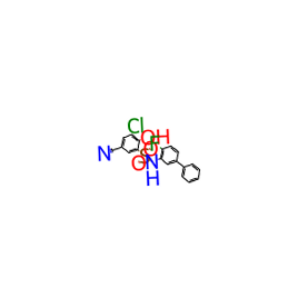 N#Cc1cc(Cl)c(O)c(S(=O)(=O)Nc2cc(-c3ccccc3)ccc2F)c1